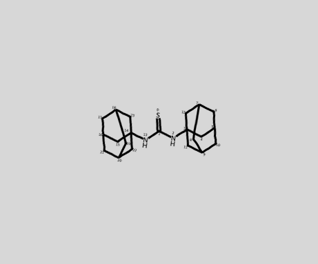 S=C(NC12CC3CC(CC(C3)C1)C2)NC12CC3CC(CC(C3)C1)C2